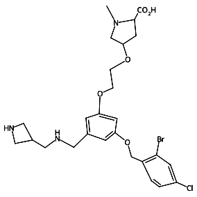 CN1CC(OCCOc2cc(CNCC3CNC3)cc(OCc3ccc(Cl)cc3Br)c2)CC1C(=O)O